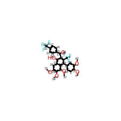 COc1ccc(-c2c(C(F)(F)F)c(C(=O)c3ccc(C(F)(F)F)cc3)c(O)c3cc(OC)c(OC)c(OC)c23)cc1OC